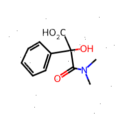 CN(C)C(=O)C(O)(C(=O)O)c1ccccc1